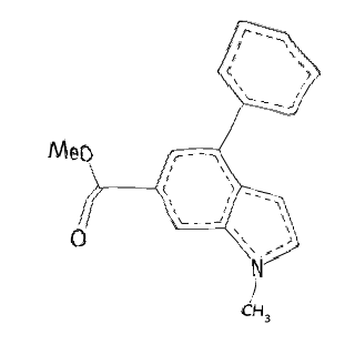 COC(=O)c1cc(-c2ccccc2)c2ccn(C)c2c1